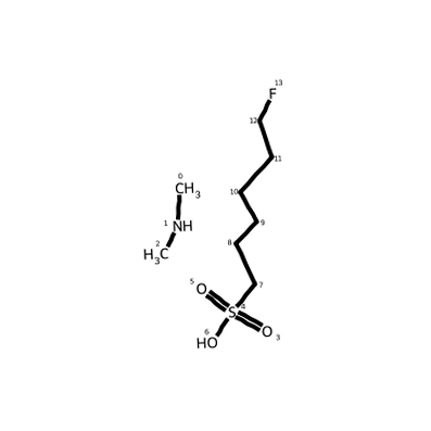 CNC.O=S(=O)(O)CCCCCCF